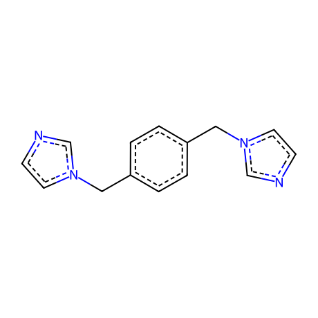 c1cn(Cc2ccc(Cn3ccnc3)cc2)cn1